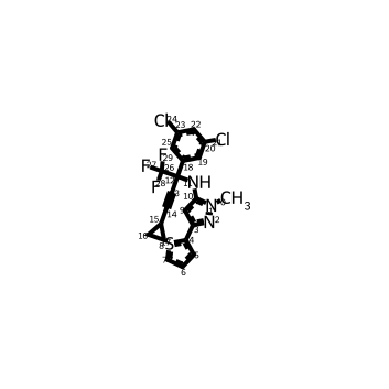 Cn1nc(-c2cccs2)cc1NC(C#CC1CC1)(c1cc(Cl)cc(Cl)c1)C(F)(F)F